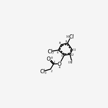 O=C(CCl)Oc1c(Cl)cc(Cl)cc1I